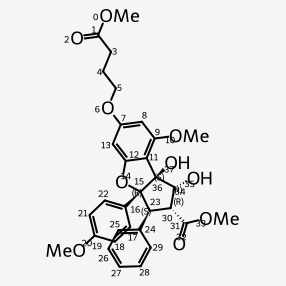 COC(=O)CCCOc1cc(OC)c2c(c1)O[C@@]1(c3ccc(OC)cc3)[C@H](c3ccccc3)[C@@H](C(=O)OC)[C@@H](O)[C@@]21O